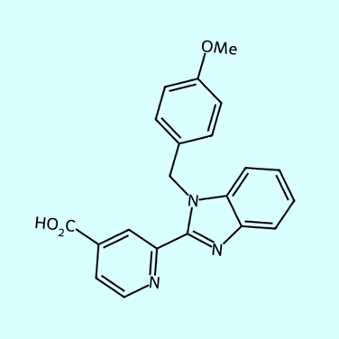 COc1ccc(Cn2c(-c3cc(C(=O)O)ccn3)nc3ccccc32)cc1